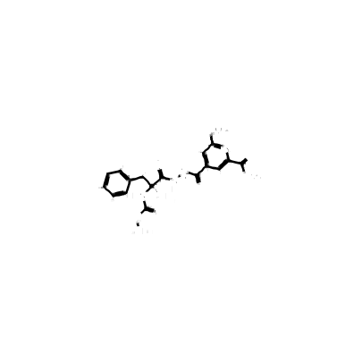 COC(=O)c1cc(C(=O)NNC(=O)[C@@](C)(Cc2ccccc2)NC(=O)OC(C)(C)C)cc(OC)n1